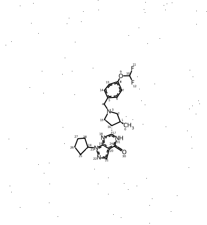 C[C@@H]1CN(Cc2ccc(OC(F)F)cc2)C[C@H]1c1nc2c(cnn2C2CCCC2)c(=O)[nH]1